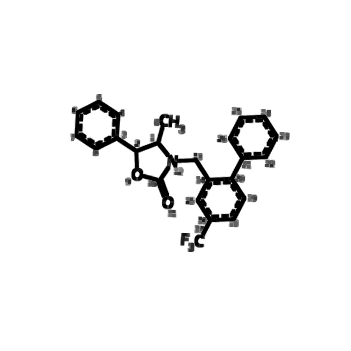 CC1C(c2ccccc2)OC(=O)N1Cc1cc(C(F)(F)F)ccc1-c1c[c]ccc1